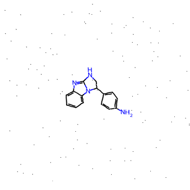 Nc1ccc(C2CNc3nc4ccccc4n32)cc1